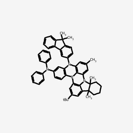 Cc1cc2c3c(c1)N1c4c(cc(C(C)(C)C)cc4C4(C)CCCCC14C)B3c1ccc(N(c3ccccc3)c3ccccc3)cc1N2c1ccc2c(c1)-c1ccccc1C2(C)C